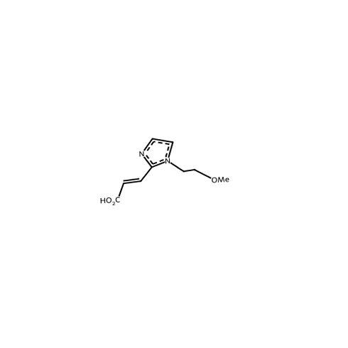 COCCn1ccnc1C=CC(=O)O